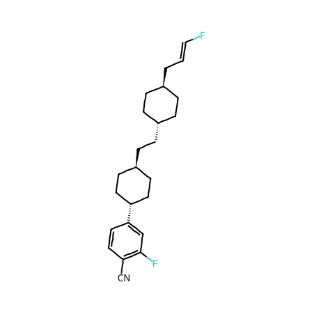 N#Cc1ccc([C@H]2CC[C@H](CC[C@H]3CC[C@H](C/C=C/F)CC3)CC2)cc1F